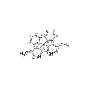 Cc1cnc2c(c1)C1(c3ccccc3-c3ccccc31)c1cc(C)cnc1-2